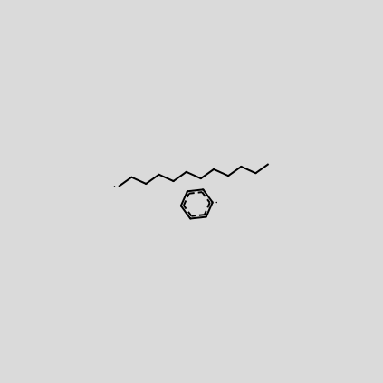 [CH2]CCCCCCCCCCC.[c]1ccccc1